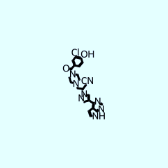 N#CCC(CN1CCN(C(=O)c2ccc(O)c(Cl)c2)CC1)n1cc(-c2ncnc3[nH]ccc23)cn1